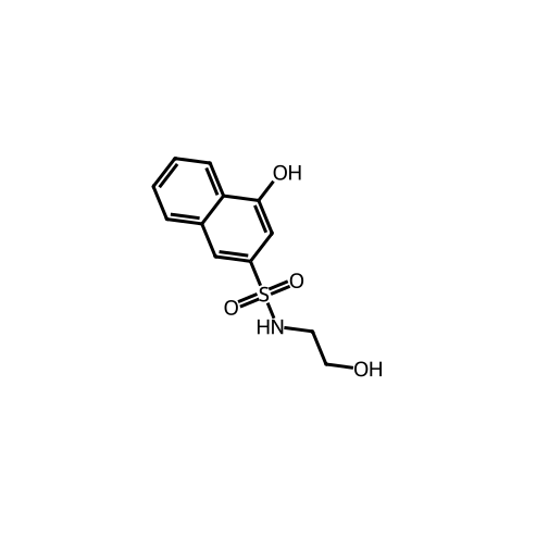 O=S(=O)(NCCO)c1cc(O)c2ccccc2c1